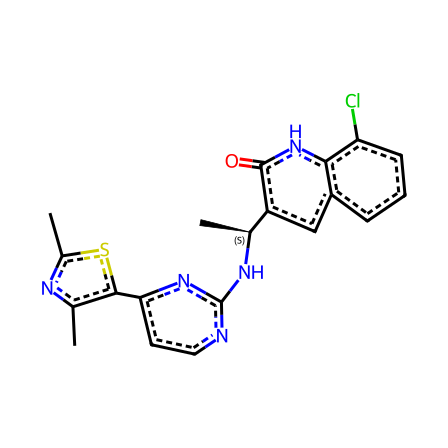 Cc1nc(C)c(-c2ccnc(N[C@@H](C)c3cc4cccc(Cl)c4[nH]c3=O)n2)s1